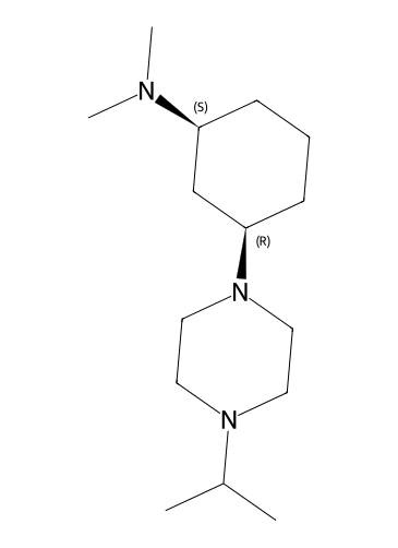 CC(C)N1CCN([C@@H]2CCC[C@H](N(C)C)C2)CC1